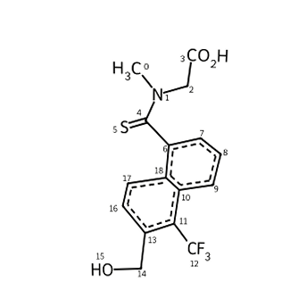 CN(CC(=O)O)C(=S)c1cccc2c(C(F)(F)F)c(CO)ccc12